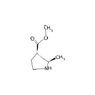 COC(=O)[C@@H]1CCN[C@@H]1C